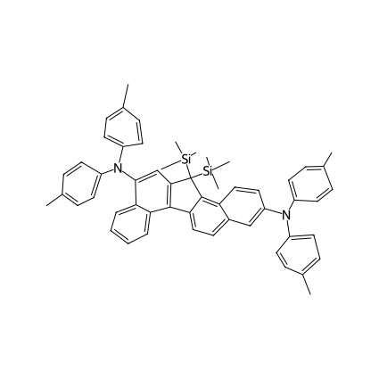 Cc1ccc(N(c2ccc(C)cc2)c2ccc3c4c(ccc3c2)-c2c(cc(N(c3ccc(C)cc3)c3ccc(C)cc3)c3ccccc23)C4([Si](C)(C)C)[Si](C)(C)C)cc1